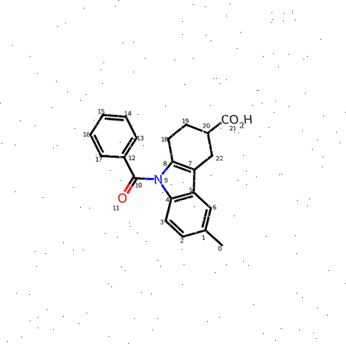 Cc1ccc2c(c1)c1c(n2C(=O)c2ccccc2)CCC(C(=O)O)C1